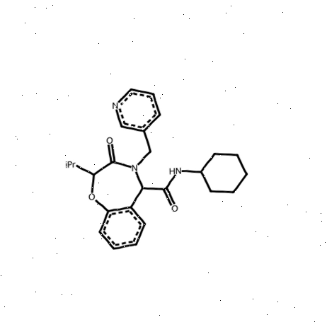 CC(C)C1Oc2ccccc2C(C(=O)NC2CCCCC2)N(Cc2cccnc2)C1=O